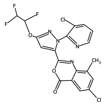 Cc1cc(Cl)cc2c(=O)oc(-c3cc(OC(F)C(F)F)nn3-c3ncccc3Cl)nc12